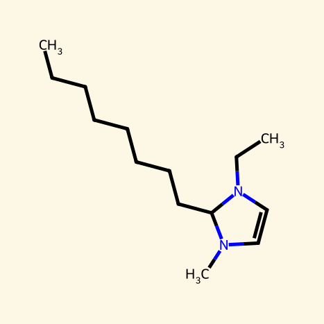 CCCCCCCCC1N(C)C=CN1CC